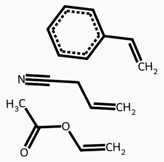 C=CCC#N.C=COC(C)=O.C=Cc1ccccc1